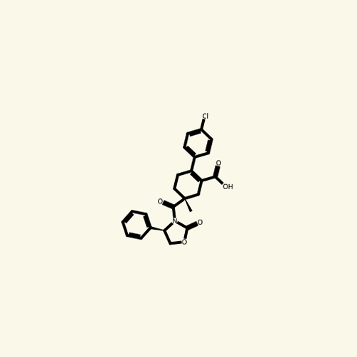 C[C@@]1(C(=O)N2C(=O)OC[C@H]2c2ccccc2)CCC(c2ccc(Cl)cc2)=C(C(=O)O)C1